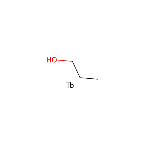 CCCO.[Tb]